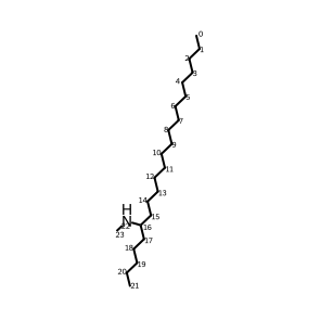 CCCCCCCCCCCCCCCCC(CCCCC)NC